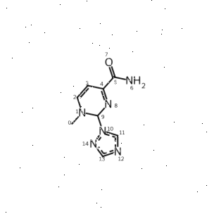 CN1C=CC(C(N)=O)=NC1n1cncn1